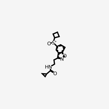 O=C(NCCc1noc2ccc([S+]([O-])C3CCC3)cc12)C1CC1